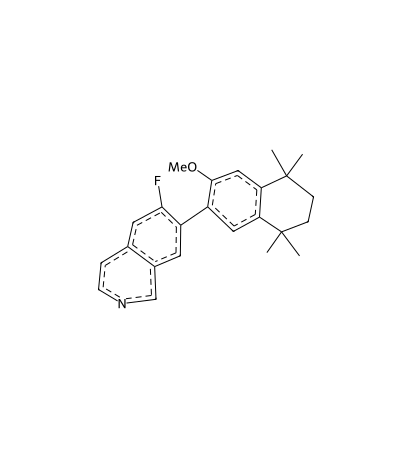 COc1cc2c(cc1-c1cc3cnccc3cc1F)C(C)(C)CCC2(C)C